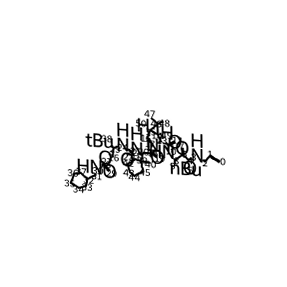 C=CCNC(=O)C(=O)C(CCCC)NC(=O)[C@@H]1[C@@H]2[C@H](CN1C(=O)[C@@H](NC(=O)N[C@H](COC(=O)NCC1CCCCC1)C(C)(C)C)C1(C)CCCCC1)C2(C)C